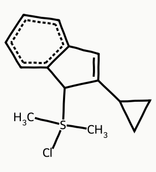 CS(C)(Cl)C1C(C2CC2)=Cc2ccccc21